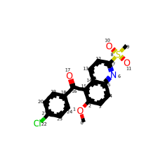 COc1ccc2nc(S(C)(=O)=O)ccc2c1C(=O)c1ccc(Cl)cc1